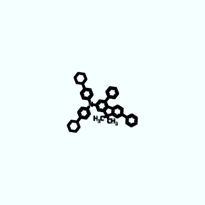 CC1(C)c2cc(-c3ccccc3)ccc2-c2c(-c3ccccc3)cc(N(c3ccc(C4CCCCC4)cc3)c3ccc(C4CCCCC4)cc3)cc21